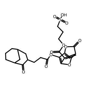 O=C(CCC1CC2CCCC(C2)C1=O)Oc1c2c3oc1c(C(=O)OCCCS(=O)(=O)O)c3C(=O)O2